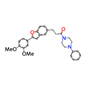 COc1ccc(-c2cc3cc(CCC(=O)N4CCN(c5ccccc5)CC4)ccc3o2)cc1OC